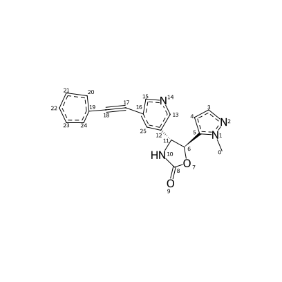 Cn1nccc1[C@H]1OC(=O)N[C@@H]1c1cncc(C#Cc2ccccc2)c1